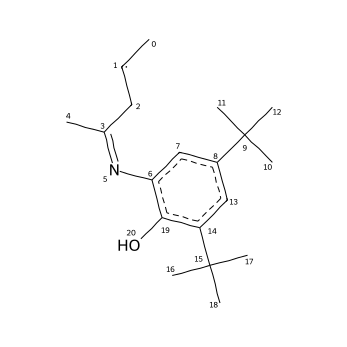 C[CH]CC(C)=Nc1cc(C(C)(C)C)cc(C(C)(C)C)c1O